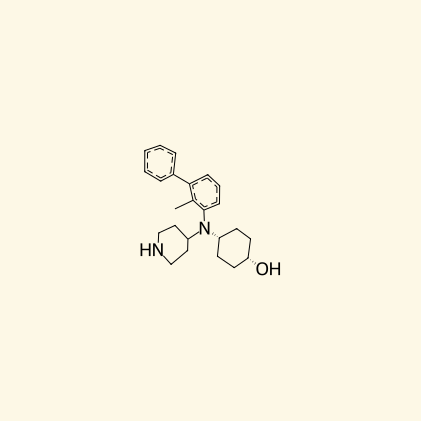 Cc1c(-c2ccccc2)cccc1N(C1CCNCC1)[C@H]1CC[C@@H](O)CC1